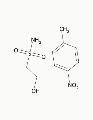 Cc1ccc([N+](=O)[O-])cc1.NS(=O)(=O)CCO